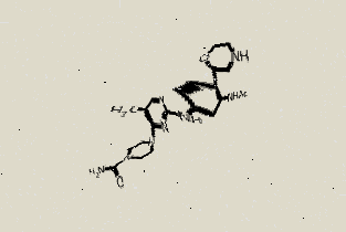 CC(=O)Nc1cc(Nc2ncc(C)c(N3CCN(C(N)=O)CC3)n2)ccc1C1CNCCO1